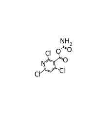 NC(=O)OC(=O)c1c(Cl)cc(Cl)nc1Cl